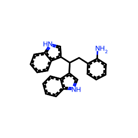 Nc1ccccc1CC(c1c[nH]c2ccccc12)c1c[nH]c2ccccc12